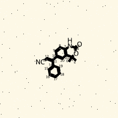 CC1(C)OC(=O)Nc2ccc(C(=CC#N)c3ccccc3)cc21